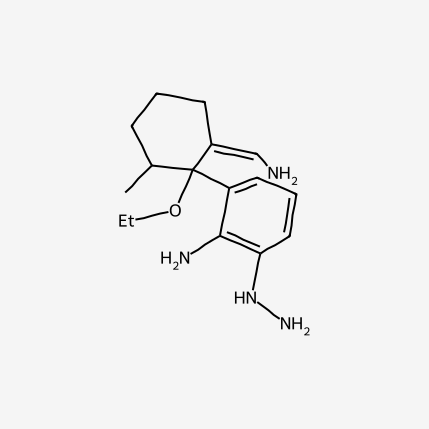 CCOC1(c2cccc(NN)c2N)/C(=C\N)CCCC1C